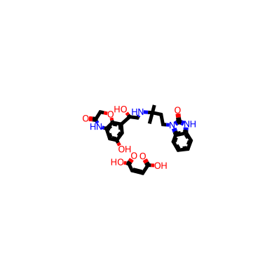 CC(C)(CCn1c(=O)[nH]c2ccccc21)NCC(O)c1cc(O)cc2c1OCC(=O)N2.O=C(O)/C=C\C(=O)O